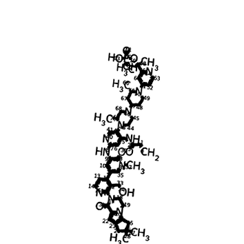 C=CC(=O)Nc1cc(Nc2cc(-c3ccnc(N4CCn5c(cc6c5CC(C)(C)C6)C4=O)c3CO)cn(C)c2=O)ncc1N1CCN(C2CCN(c3ccnc(C(C)(C)OP(=O)(O)O)c3)[C@@H](C)C2)C[C@@H]1C